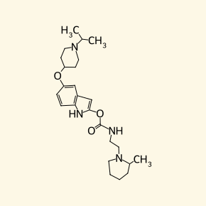 CC(C)N1CCC(Oc2ccc3[nH]c(OC(=O)NCCN4CCCCC4C)cc3c2)CC1